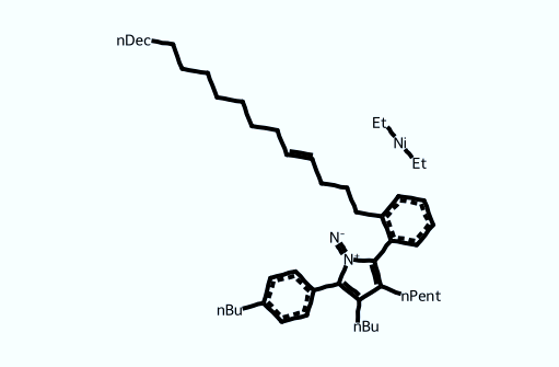 CCCCCCCCCCCCCCCCCC=CCCCc1ccccc1C1=C(CCCCC)C(CCCC)=C(c2ccc(CCCC)cc2)[N+]1=[N-].C[CH2][Ni][CH2]C